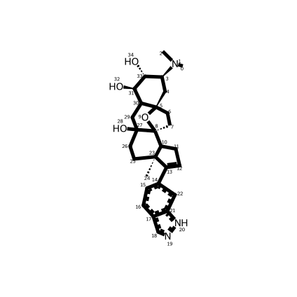 CN(C)[C@H]1C[C@@]23CC[C@]4(O2)C2CC=C(c5ccc6cn[nH]c6c5)[C@@]2(C)CCC4(O)CC3[C@@H](O)[C@@H]1O